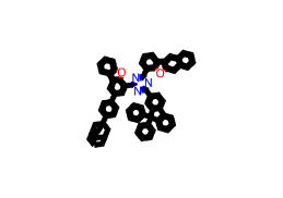 c1ccc(C2(c3ccccc3)c3ccccc3-c3ccc(-c4nc(-c5cccc6c5oc5cc7ccccc7cc56)nc(-c5cc(-c6ccc(C78CC9CC(CC(C9)C7)C8)cc6)cc6c5oc5ccccc56)n4)cc32)cc1